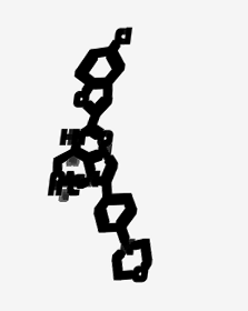 CC(=O)OC[C@@H](NC(=O)c1cc2cc(Cl)ccc2o1)c1ncc(-c2ccc(N3CCOCC3)cc2)n1C